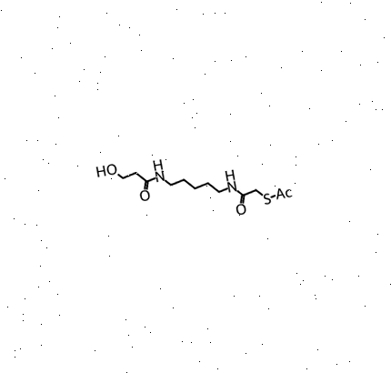 CC(=O)SCC(=O)NCCCCCNC(=O)CCO